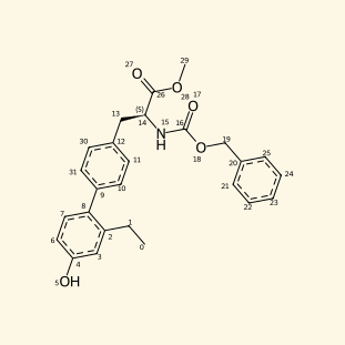 CCc1cc(O)ccc1-c1ccc(C[C@H](NC(=O)OCc2ccccc2)C(=O)OC)cc1